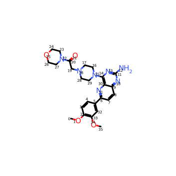 COc1ccc(-c2ccc3nc(N)nc(N4CCN(CC(=O)N5CCOCC5)CC4)c3n2)cc1OC